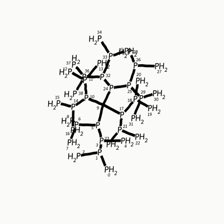 PP(P)P(P)P(P(P)P)C(P(P(P)P)P(P)P)(P(P(P)P)P(P)P)P(P(P(P)P)P(P)P)P(P(P)P)P(P)P